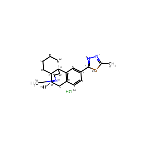 Cc1nnc(-c2ccc3c(c2)[C@]24CCCCC2[C@H](C3)N(C)CC4)s1.Cl